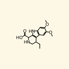 CCC1CNC(C(=O)O)c2[nH]c3cc(OC)c(OC)cc3c21